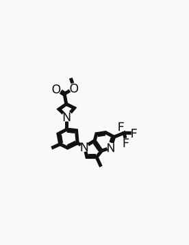 COC(=O)C1CN(c2cc(C)cc(-n3cc(C)c4nc(C(F)(F)F)ccc43)c2)C1